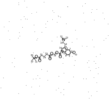 COc1ccc2c(c1)c(CCN(C)C)cn2C(=O)OCOC(=O)CCCC(=O)OC(C)(C)C